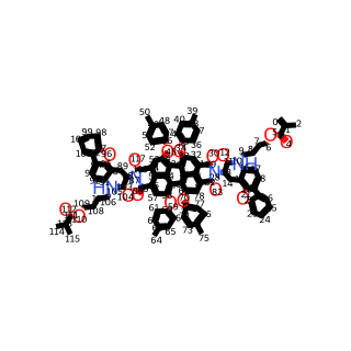 C=C(C)C(=O)OCCCCNC(=O)C(Cc1cccc2c1oc1ccccc12)N1C(=O)c2cc(Oc3ccc(C)cc3)c3c4c(Oc5ccc(C)cc5)cc5c6c(cc(Oc7ccc(C)cc7)c(c7c(Oc8ccc(C)cc8)cc(c2c37)C1=O)c64)C(=O)N(C(Cc1cccc2c1oc1ccccc12)C(=O)NCCCCOC(=O)C(C)C)C5=O